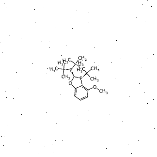 COc1cccc2c1[P@](C(C)(C)C)[C@H](P(C(C)(C)C)C(C)(C)C)O2